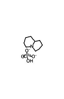 C1CCN2CCCCC2C1.[O-][Cl+3]([O-])([O-])O